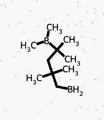 BCC(C)(C)CC(C)(C)B(C)C